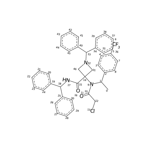 CC(c1ccc(C(F)(F)F)cc1)N(C(=O)CCl)C1(C(=O)NC(c2ccccc2)c2ccccc2)CN(C(c2ccccc2)c2ccccc2)C1